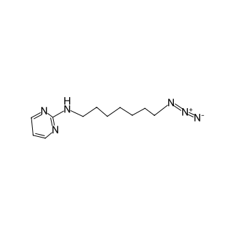 [N-]=[N+]=NCCCCCCCNc1ncccn1